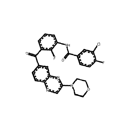 O=C(Nc1cccc(C(=O)c2ccc3ncc(N4CCOCC4)nc3c2)c1F)c1ccc(F)c(Cl)c1